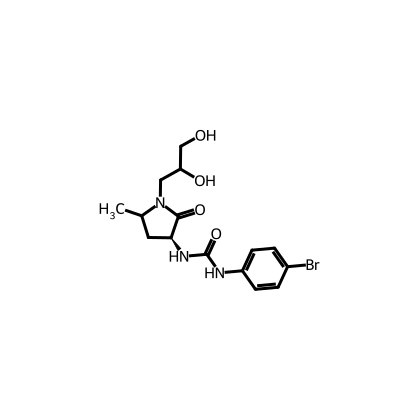 CC1C[C@H](NC(=O)Nc2ccc(Br)cc2)C(=O)N1CC(O)CO